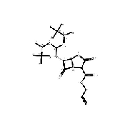 C=CCOC(=O)C1C(=O)SC2[C@@H](CC(O[SiH](C)C(C)(C)C)O[SiH](C)C(C)(C)C)C(=O)N12